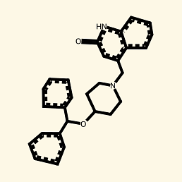 O=c1cc(CN2CCC(OC(c3ccccc3)c3ccccc3)CC2)c2ccccc2[nH]1